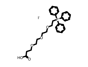 O=C(O)CCOCCOCCOCC[P+](c1ccccc1)(c1ccccc1)c1ccccc1.[I-]